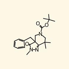 CN1N=C2C(C)(C)CN(C(=O)OC(C)(C)C)CC2(Cc2ccccc2)C1=O